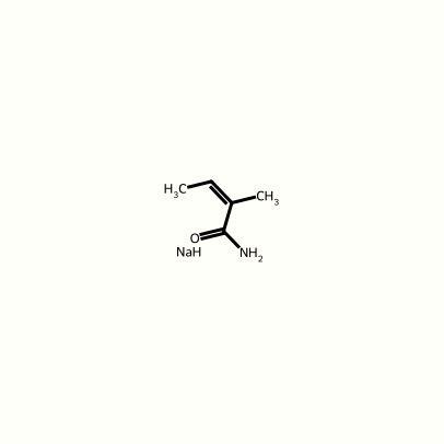 CC=C(C)C(N)=O.[NaH]